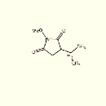 CON1C(=O)CC([C@@H](C)N)C1=O